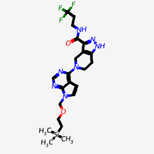 C[Si](C)(C)CCOCn1ccc2c(N3CCc4[nH]nc(C(=O)NCCC(F)(F)F)c4C3)ncnc21